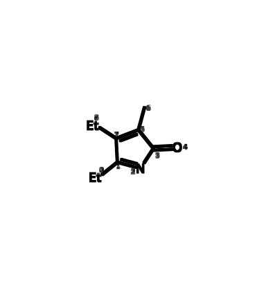 CCC1=NC(=O)C(C)=C1CC